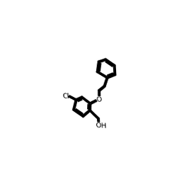 OCc1ccc(Cl)cc1OCCc1ccccc1